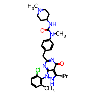 Cc1cccc(Cl)c1-n1[nH]c(C(C)C)c2c(=O)nc(Cc3ccc(N(C)C(=O)NC4CCN(C)CC4)cc3)nc1-2